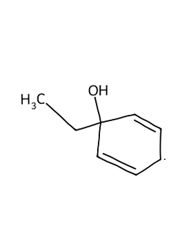 CCC1(O)C=C[CH]C=C1